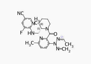 C=NN(/N=C\C)c1ccc(C)nc1C(=O)N1CCC[C@@H](C)[C@H]1CNc1ncc(C#N)cc1F